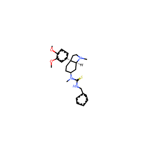 COc1ccc([C@@]23CC[C@H](N(C)C(=S)NCc4ccccc4)C[C@@H]2N(C)CC3)cc1OC